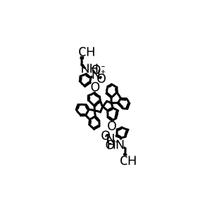 C#CCNc1cccc(Oc2ccc3c(c2)C2(CC34c3ccccc3-c3ccccc34)CC3(c4ccccc4-c4ccccc43)c3ccc(Oc4cccc(NCC#C)c4[N+](=O)[O-])cc32)c1[N+](=O)[O-]